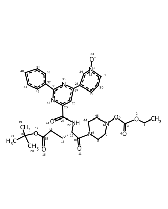 CCOC(=O)ON1CCN(C(=O)[C@H](CCC(=O)OC(C)(C)C)NC(=O)c2cc(-c3ccc[n+]([O-])c3)nc(-c3ccccc3)n2)CC1